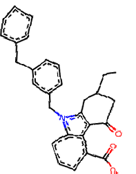 CCC1CC(=O)c2c(n(Cc3cccc(Cc4ccccc4)c3)c3cccc(C(=O)OC)c23)C1